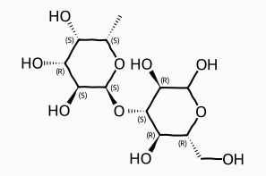 C[C@@H]1O[C@@H](O[C@H]2[C@H](O)[C@@H](CO)OC(O)[C@@H]2O)[C@@H](O)[C@H](O)[C@@H]1O